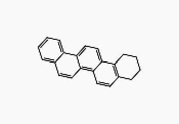 c1ccc2c(c1)ccc1c3ccc4c(c3ccc21)CCCC4